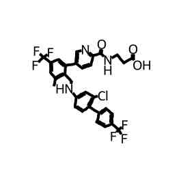 Cc1cc(C(F)(F)F)cc(-c2ccc(C(=O)NCCC(=O)O)nc2)c1CNc1ccc(-c2ccc(C(F)(F)F)cc2)c(Cl)c1